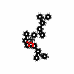 c1ccc(-c2cccc(-c3ccccc3)c2-c2nc3ccc(-n4c5ccccc5c5cc(-c6ccc7c(c6)c6ccccc6n7-c6ccccc6)ccc54)cc3nc2-n2c3ccccc3c3cc(-c4ccc5c(c4)c4ccccc4n5-c4ccccc4)ccc32)cc1